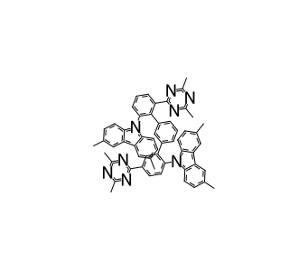 Cc1ccc2c(c1)c1cc(C)ccc1n2-c1ccc(-c2nc(C)nc(C)n2)cc1-c1cccc(-c2c(-c3nc(C)nc(C)n3)cccc2-n2c3ccc(C)cc3c3cc(C)ccc32)c1